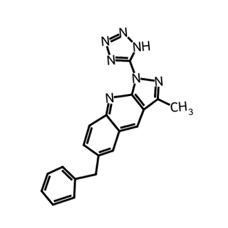 Cc1nn(-c2nnn[nH]2)c2nc3ccc(Cc4ccccc4)cc3cc12